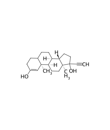 C#CC1(O)CC[C@H]2[C@@H]3CCC4CCC(O)=C[C@]4(C)[C@@H]3CC[C@@]21C